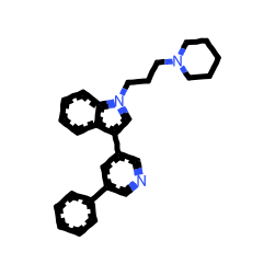 c1ccc(-c2cncc(-c3cn(CCCN4CCCCC4)c4ccccc34)c2)cc1